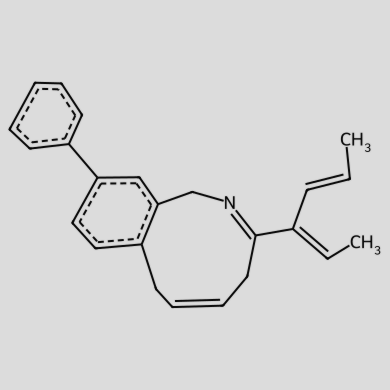 C/C=C/C(=C\C)C1=N/Cc2cc(-c3ccccc3)ccc2C/C=C\C\1